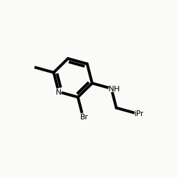 Cc1ccc(NCC(C)C)c(Br)n1